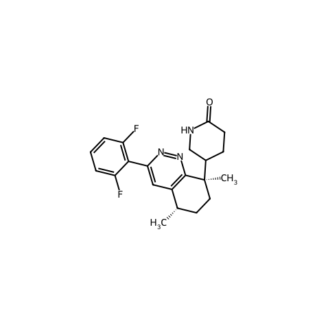 C[C@H]1CC[C@](C)(C2CCC(=O)NC2)c2nnc(-c3c(F)cccc3F)cc21